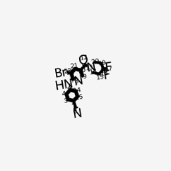 N#Cc1ccc(Nc2ncc(C(=O)N3CCC(F)(F)CC3)cc2Br)cc1